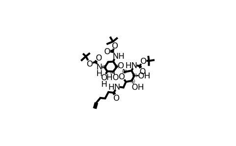 C#CCCCC(=O)NCC1O[C@H](O[C@@H]2C(NC(=O)OC(C)(C)C)C[C@H](NC(=O)OC(C)(C)C)C(O)[C@H]2O)C(NC(=O)OC(C)(C)C)[C@@H](O)[C@@H]1O